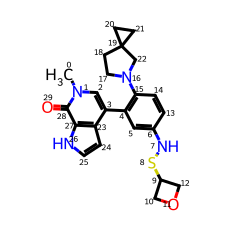 Cn1cc(-c2cc(NSC3COC3)ccc2N2CCC3(CC3)C2)c2cc[nH]c2c1=O